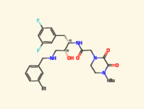 CCCCN1CCN(CC(=O)N[C@@H](Cc2cc(F)cc(F)c2)[C@H](O)CNCc2cccc(CC)c2)C(=O)C1=O